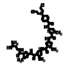 Cn1cc(NC(=O)c2cc(NC(=O)c3cc(NC(=O)c4nc(NC(=O)c5ccc(N(CCCl)CCCl)cc5)cn4C)cn3C)cn2C)cc1C(=O)NCCC(=N)N